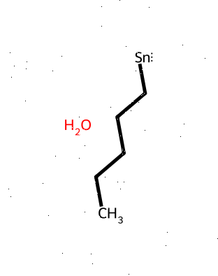 CCCC[CH2][Sn].O